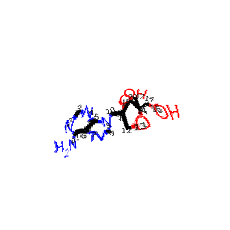 Nc1ncnc2c1ncn2CC12CO[C@@](CO)(CO1)C2O